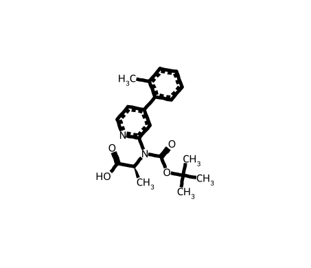 Cc1ccccc1-c1ccnc(N(C(=O)OC(C)(C)C)[C@@H](C)C(=O)O)c1